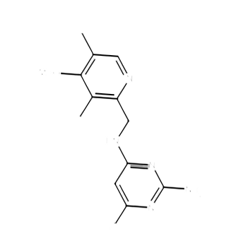 COc1c(C)cnc(CNc2cc(Cl)nc(N)n2)c1C